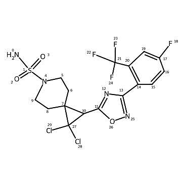 NS(=O)(=O)N1CCC2(CC1)C(c1nc(-c3ccc(F)cc3C(F)(F)F)no1)C2(Cl)Cl